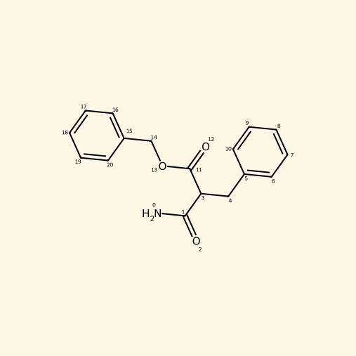 NC(=O)C(Cc1ccccc1)C(=O)OCc1ccccc1